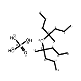 CCCC(C)(CCC)OC(C)(CCC)CCC.O=P(O)(O)O